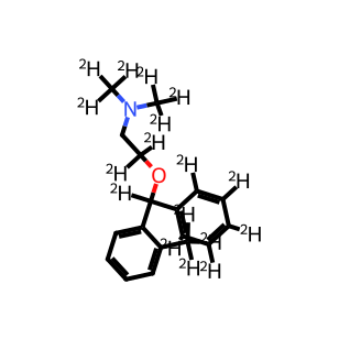 [2H]c1c([2H])c([2H])c(C([2H])(OC([2H])([2H])CN(C([2H])([2H])[2H])C([2H])([2H])[2H])c2ccccc2C([2H])([2H])[2H])c([2H])c1[2H]